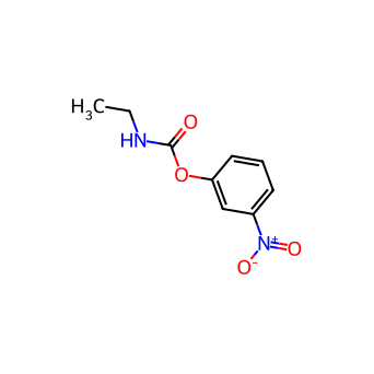 CCNC(=O)Oc1cccc([N+](=O)[O-])c1